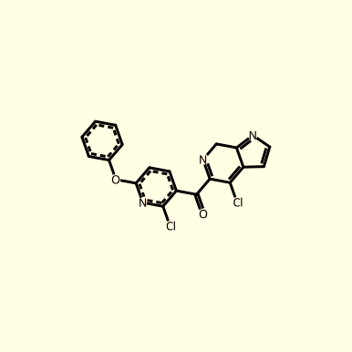 O=C(C1=NCC2=NC=CC2=C1Cl)c1ccc(Oc2ccccc2)nc1Cl